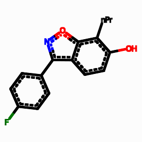 CCCc1c(O)ccc2c(-c3ccc(F)cc3)noc12